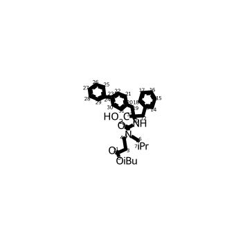 CC(C)COC(=O)CCN(CC(C)C)C(=O)NC(Cc1ccccc1)(Cc1ccc(-c2ccccc2)cc1)C(=O)O